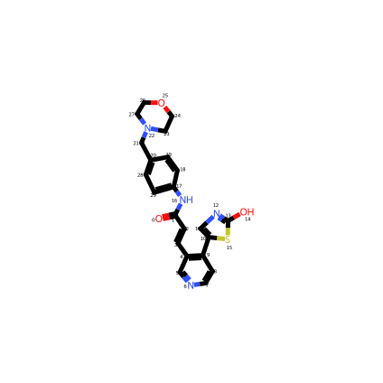 O=C(/C=C/c1cnccc1-c1cnc(O)s1)Nc1ccc(CN2CCOCC2)cc1